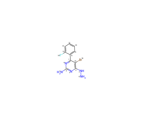 NNc1nc(N)nc(-c2ccccc2F)c1Br